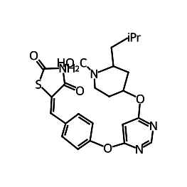 CC(C)CC1CC(Oc2cc(Oc3ccc(C=C4SC(=O)NC4=O)cc3)ncn2)CCN1C(=O)O